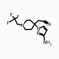 N#CCC1(n2ccc(N)n2)CCN(CC(F)(F)F)CC1